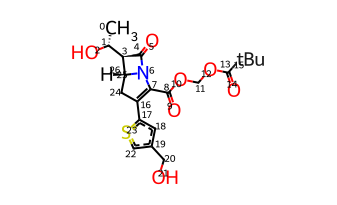 C[C@@H](O)[C@H]1C(=O)N2C(C(=O)OCOC(=O)C(C)(C)C)=C(c3cc(CO)cs3)C[C@H]12